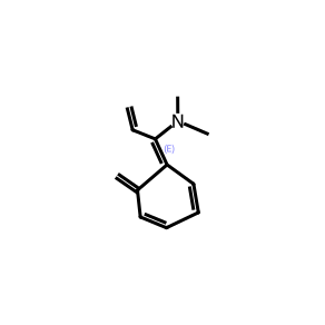 C=C/C(=c1/ccccc1=C)N(C)C